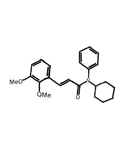 COc1cccc(/C=C/C(=O)N(c2ccccc2)C2CCCCC2)c1OC